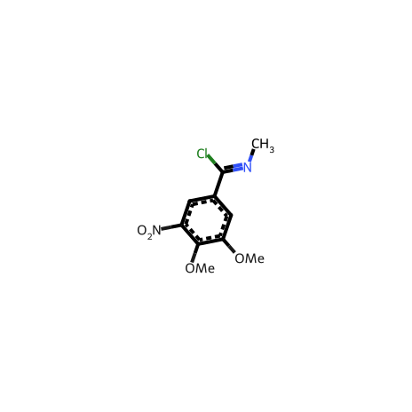 CN=C(Cl)c1cc(OC)c(OC)c([N+](=O)[O-])c1